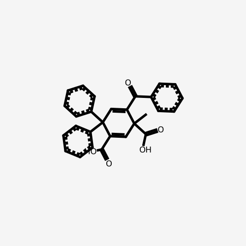 CC1(C(=O)O)C=C(C(=O)O)C(c2ccccc2)(c2ccccc2)C=C1C(=O)c1ccccc1